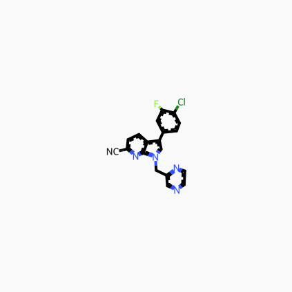 N#Cc1ccc2c(-c3ccc(Cl)c(F)c3)cn(Cc3cnccn3)c2n1